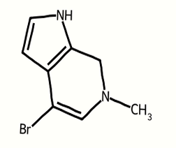 CN1C=C(Br)c2cc[nH]c2C1